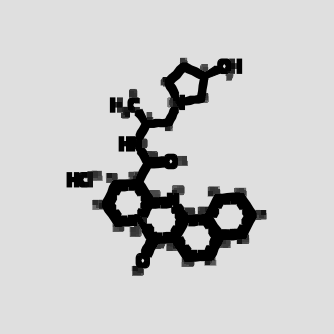 C[C@@H](CN1CC[C@@H](O)C1)NC(=O)c1cccn2c(=O)c3ccc4ccccc4c3nc12.Cl